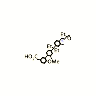 CCC1(/C=C/c2ccc(C(CC)(CC)c3ccc(-c4cc(CC(=O)O)ccc4OC)c(C)c3)cc2C)CO1